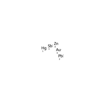 [Au].[Hg].[Pb].[Sb].[Zn]